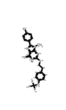 Cn1c(-c2ccc(Cl)cc2)nc2c(=O)[nH]c(SCCc3ccc(OC(F)(F)F)cc3)nc21